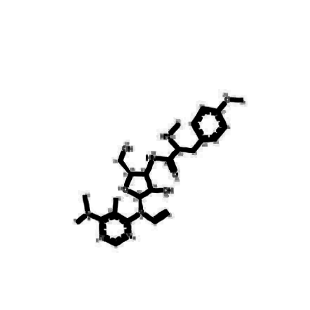 C=CN(c1ncnc(N(C)C)c1C)[C@H]1O[C@@H](CO)C(NC(=O)C(Cc2ccc(OC)cc2)NC)C1O